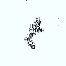 CCc1cc(NC(=O)NC(CO)CCN2CC([S@+]([O-])c3ccc(Cl)cc3)C2)no1